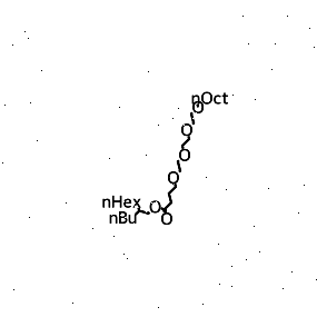 CCCCCCCCOCCOCCOCCOCCCC(=O)OCC(CCCC)CCCCCC